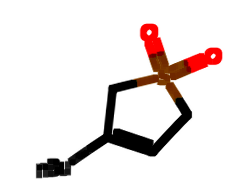 CCCCC1=CCS(=O)(=O)C1